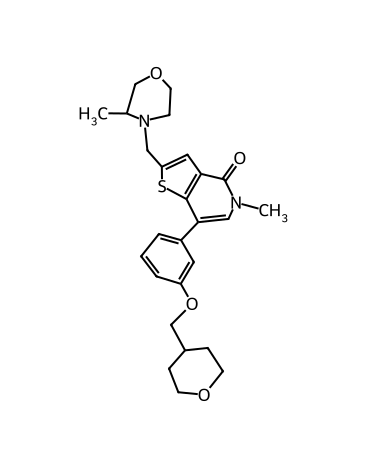 CC1COCCN1Cc1cc2c(=O)n(C)cc(-c3cccc(OCC4CCOCC4)c3)c2s1